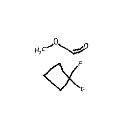 COC=O.FC1(F)CCC1